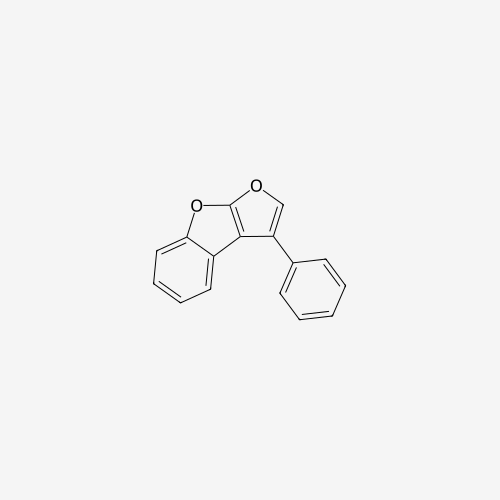 c1ccc(-c2coc3oc4ccccc4c23)cc1